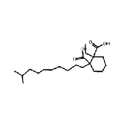 CCC1(C(=O)O)CCCCC1(CCCCCCCCC(C)C)C(=O)O